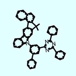 CC1(C)c2cc3c(cc2-c2c1ccc1ccccc21)c1ccccc1n3-c1cc(-c2ccccc2)cc(-c2nc(-c3ccccc3)nc(-c3ccccc3)n2)c1